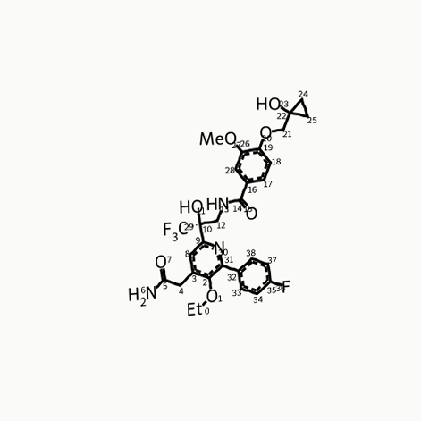 CCOc1c(CC(N)=O)cc([C@@](O)(CNC(=O)c2ccc(OCC3(O)CC3)c(OC)c2)C(F)(F)F)nc1-c1ccc(F)cc1